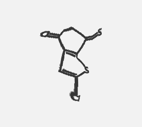 O=C1CC(=S)c2sc(Cl)cc21